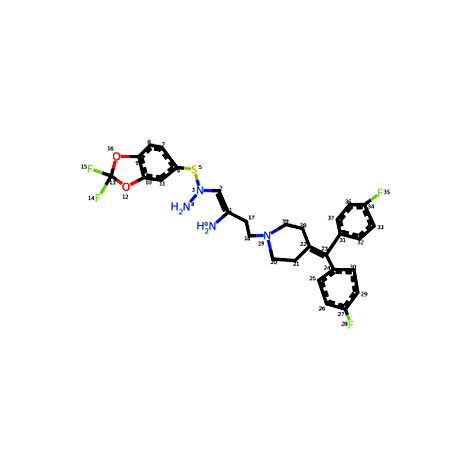 N/C(=C\N(N)Sc1ccc2c(c1)OC(F)(F)O2)CCN1CCC(=C(c2ccc(F)cc2)c2ccc(F)cc2)CC1